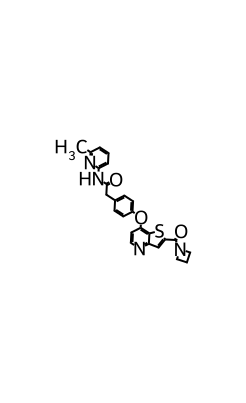 Cc1cccc(NC(=O)Cc2ccc(Oc3ccnc4cc(C(=O)N5CCC5)sc34)cc2)n1